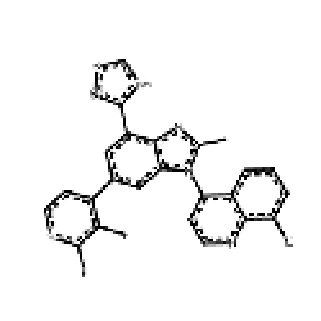 Cc1nc2c(-c3nnc[nH]3)cc(-c3ccnc(F)c3F)cc2n1-c1ccnc2c(Cl)cccc12